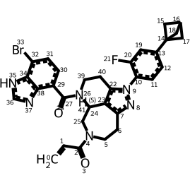 C=CC(=O)N1CCc2nn(-c3ccc(C45CC(C4)C5)cc3F)c3c2[C@@H](C1)N(C(=O)c1ccc(Br)c2[nH]cnc12)CC3